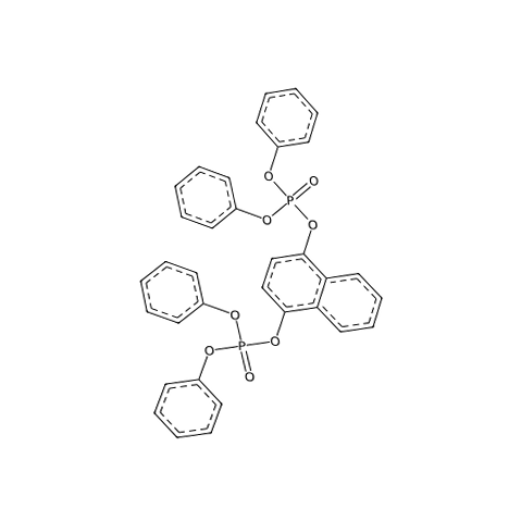 O=P(Oc1ccccc1)(Oc1ccccc1)Oc1ccc(OP(=O)(Oc2ccccc2)Oc2ccccc2)c2ccccc12